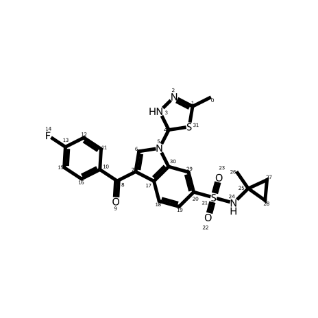 CC1=NNC(n2cc(C(=O)c3ccc(F)cc3)c3ccc(S(=O)(=O)NC4(C)CC4)cc32)S1